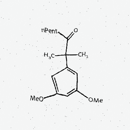 CCCCCC(=O)C(C)(C)c1cc(OC)cc(OC)c1